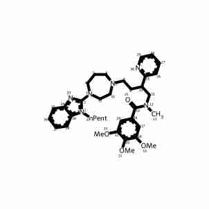 CCCCCn1c(N2CCCN(CCC(CN(C)C(=O)c3cc(OC)c(OC)c(OC)c3)c3ccccn3)CC2)nc2ccccc21